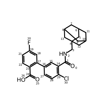 O=C(NCC12CC3CC(CC(C3)C1)C2)c1cc(-c2cc(F)ccc2C(=O)O)ccc1Cl